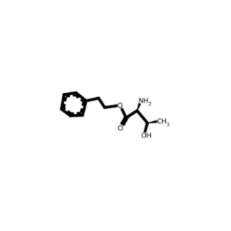 C[C@@H](O)[C@H](N)C(=O)OCCc1ccccc1